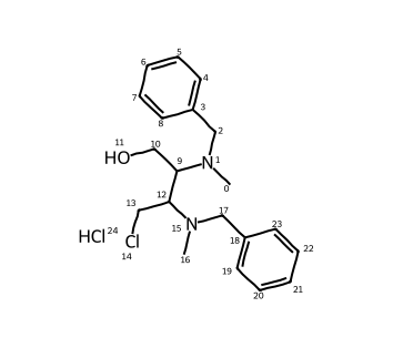 CN(Cc1ccccc1)C(CO)C(CCl)N(C)Cc1ccccc1.Cl